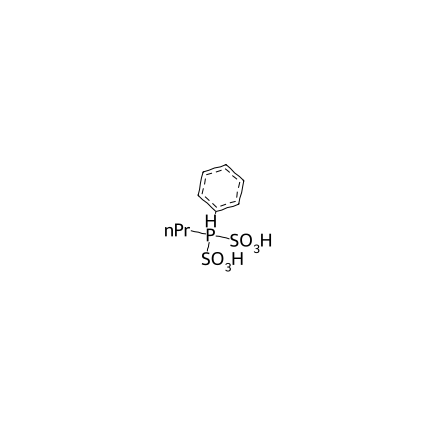 CCC[PH](c1ccccc1)(S(=O)(=O)O)S(=O)(=O)O